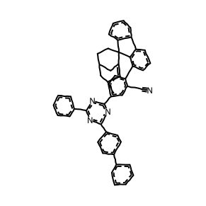 CC1C=C2CC(CCC23c2ccccc2-c2cccc(-c4ccc(-c5nc(-c6ccccc6)nc(-c6ccc(-c7ccccc7)cc6)n5)cc4C#N)c23)C1